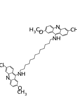 COc1ccc2nc3cc(C)ccc3c(NCCCCCCCCCCCCCNc3c4ccc(Cl)cc4nc4ccc(OC)cc34)c2c1